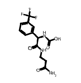 NC(=O)CCNC(=O)C(NC(=O)O)c1cccc(C(F)(F)F)c1